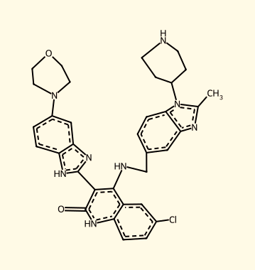 Cc1nc2cc(CNc3c(-c4nc5cc(N6CCOCC6)ccc5[nH]4)c(=O)[nH]c4ccc(Cl)cc34)ccc2n1C1CCNCC1